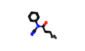 C/C=C/C(=O)N(C#N)c1ccccc1